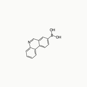 OB(O)c1ccc2c(cnc3ccccc32)c1